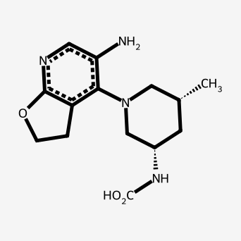 C[C@@H]1C[C@H](NC(=O)O)CN(c2c(N)cnc3c2CCO3)C1